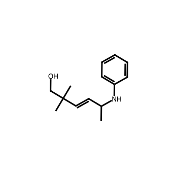 CC(C=CC(C)(C)CO)Nc1ccccc1